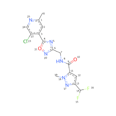 Cc1cc(-c2nc(CNC(=O)c3cc(C(F)F)nn3C)no2)c(Cl)cn1